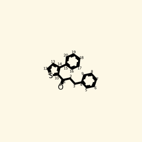 O=C(CCc1ccccc1)c1sccc1-c1ccccc1